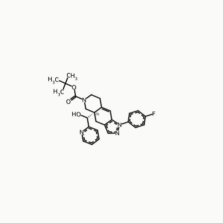 CC(C)(C)OC(=O)N1CCC2=Cc3c(cnn3-c3ccc(F)cc3)C[C@@]2(C(O)c2ccccn2)C1